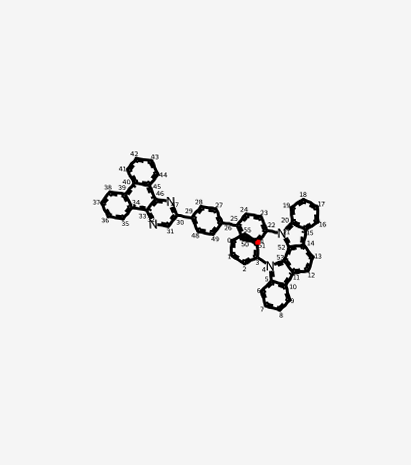 c1ccc(-n2c3ccccc3c3ccc4c5ccccc5n(-c5ccc(-c6ccc(-c7cnc8c9ccccc9c9ccccc9c8n7)cc6)cc5)c4c32)cc1